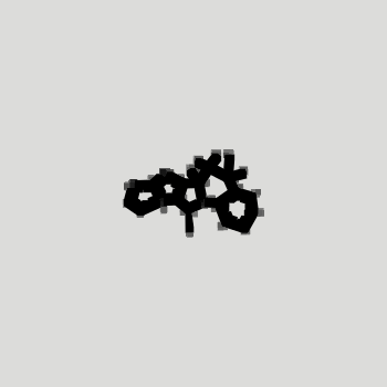 C[C@H]1c2c(nc3sccn23)C2(C)N1c1ccccc1C(C)(C)C2(C)C